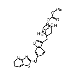 CC(C)(C)OC(=O)ON1C[C@@H]2CC[C@H]1CN2Cc1coc2cc(Oc3nc4ncccc4s3)ccc12